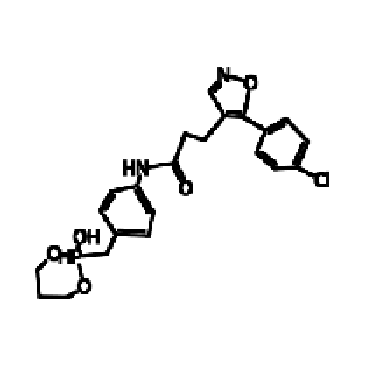 O=C(CCc1cnoc1-c1ccc(Cl)cc1)Nc1ccc(C[PH]2(O)OCCCO2)cc1